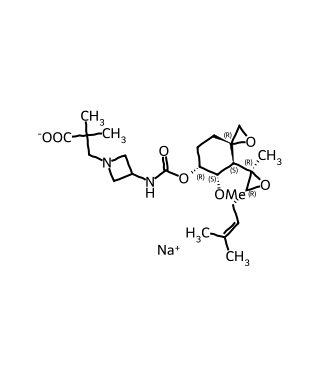 CO[C@@H]1[C@H](OC(=O)NC2CN(CC(C)(C)C(=O)[O-])C2)CC[C@]2(CO2)[C@H]1[C@@]1(C)O[C@@H]1CC=C(C)C.[Na+]